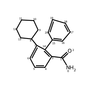 NC(=O)c1cccc(C2CCCCC2)c1-c1ccccc1